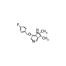 Cc1[nH]c2c(OCc3ccc(F)cc3)cncc2c1C